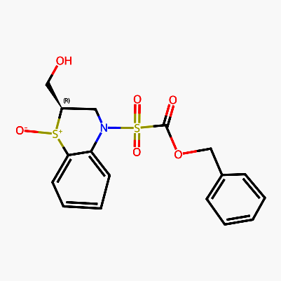 O=C(OCc1ccccc1)S(=O)(=O)N1C[C@H](CO)[S+]([O-])c2ccccc21